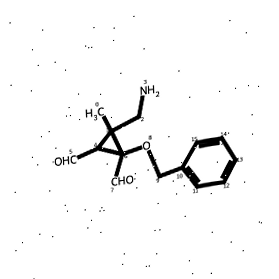 CC1(CN)C([C]=O)C1([C]=O)OCc1ccccc1